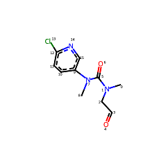 CN(CC=O)C(=O)N(C)c1ccc(Cl)nc1